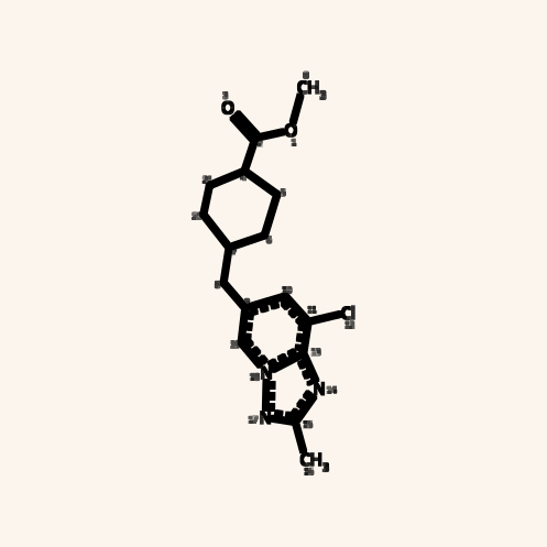 COC(=O)C1CCC(Cc2cc(Cl)c3nc(C)nn3c2)CC1